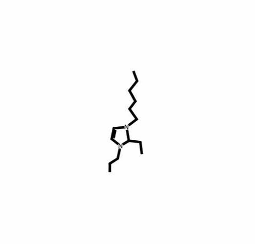 CCCCCCN1C=CN(CCC)C1CC